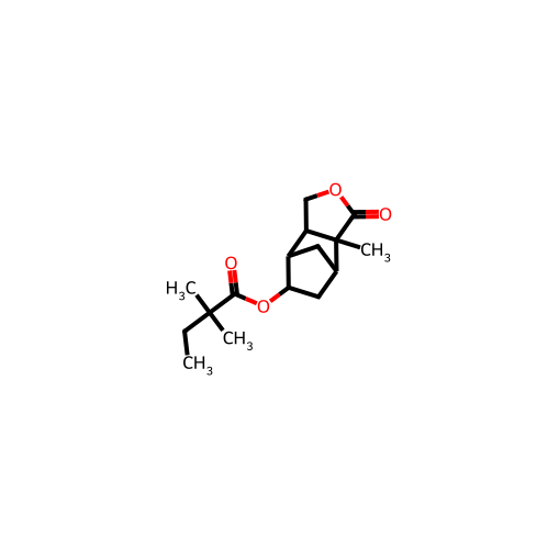 CCC(C)(C)C(=O)OC1CC2CC1C1COC(=O)C21C